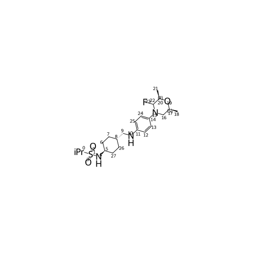 CC(C)S(=O)(=O)N[C@H]1CC[C@H](CNc2ccc(N3C[C@H](C)O[C@H](C)C3F)cc2)CC1